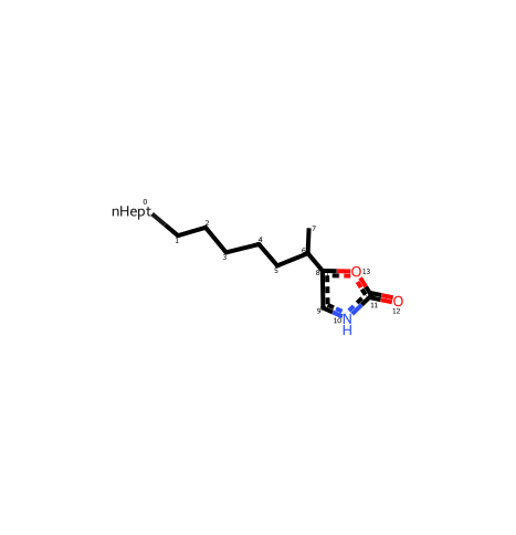 CCCCCCCCCCCCC(C)c1c[nH]c(=O)o1